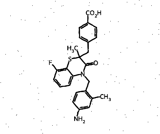 Cc1cc(N)ccc1CN1C(=O)C(C)(Cc2ccc(C(=O)O)cc2)Sc2c(F)cccc21